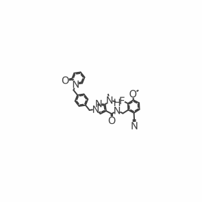 COc1ccc(C#N)c(CNC(=O)c2cn(Cc3ccc(Cn4ccccc4=O)cc3)nc2N(C)C)c1F